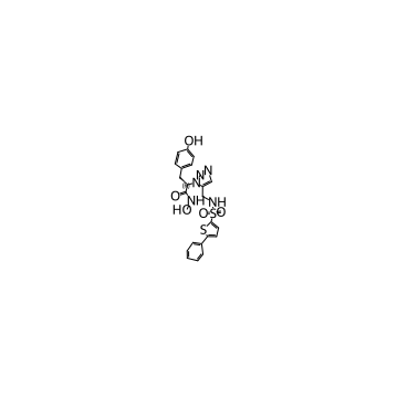 O=C(NO)[C@@H](Cc1ccc(O)cc1)n1nncc1CNS(=O)(=O)c1ccc(-c2ccccc2)s1